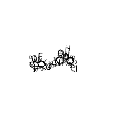 COC(=O)c1c(F)cc(OCCN2CCC3(CC2)C(=O)Nc2ccc(Cl)cc23)cc1F